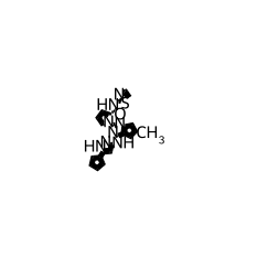 C[C@H]1Cc2nc(N3CCC[C@@H]3C(=O)Nc3nccs3)nc(Nc3cc(C4CCCC4)[nH]n3)c2C1